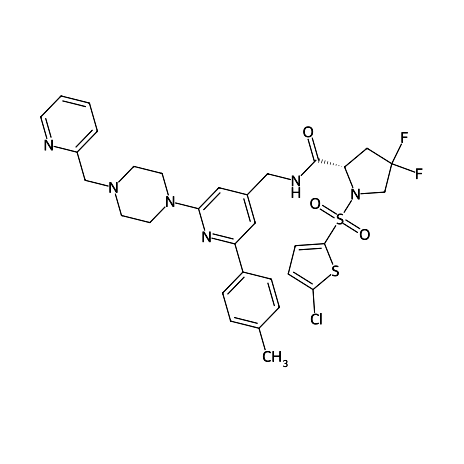 Cc1ccc(-c2cc(CNC(=O)[C@@H]3CC(F)(F)CN3S(=O)(=O)c3ccc(Cl)s3)cc(N3CCN(Cc4ccccn4)CC3)n2)cc1